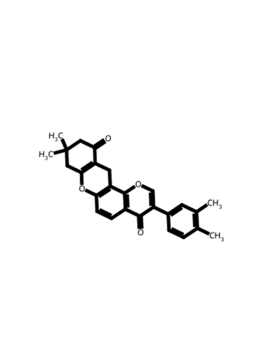 Cc1ccc(-c2coc3c4c(ccc3c2=O)OC2=C(C4)C(=O)CC(C)(C)C2)cc1C